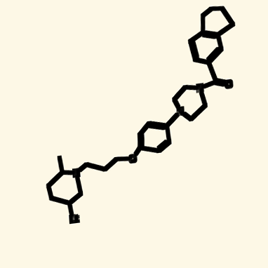 CCC1CCC(C)N(CCCOc2ccc(N3CCN(C(=O)c4ccc5c(c4)CCCC5)CC3)cc2)C1